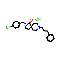 Cl.O=C1N(Cc2ccc(Cl)cc2)CCC12CCN(CCCc1ccccc1)CC2